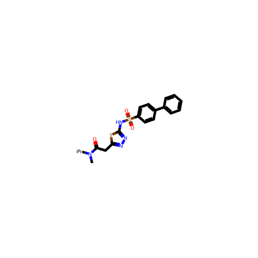 CC(C)N(C)C(=O)Cc1nnc(NS(=O)(=O)c2ccc(-c3ccccc3)cc2)s1